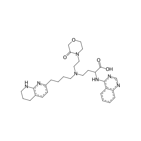 O=C(O)C(CCN(CCCCc1ccc2c(n1)NCCC2)CCN1CCOCC1=O)Nc1ncnc2ccccc12